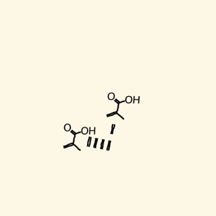 C=C.C=C.C=C.C=C.C=C.C=C(C)C(=O)O.C=C(C)C(=O)O